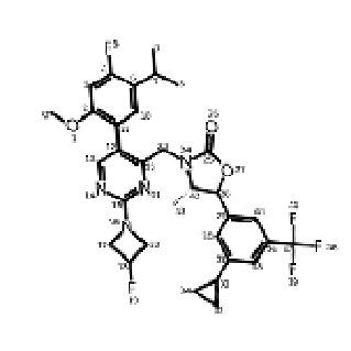 COc1cc(F)c(C(C)C)cc1-c1cnc(N2CC(F)C2)nc1CN1C(=O)OC(c2cc(C3CC3)cc(C(F)(F)F)c2)[C@@H]1C